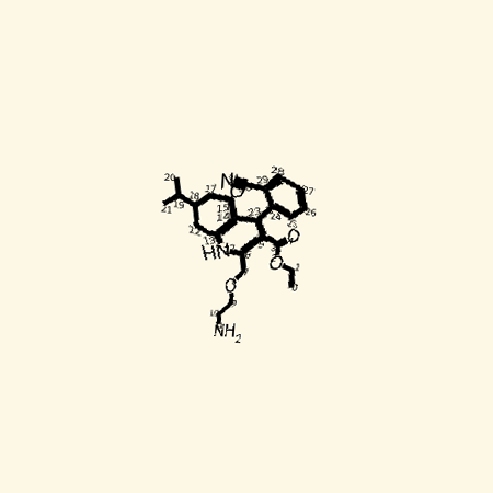 CCOC(=O)C1=C(COCCN)NC2=C(C(=O)CC(C(C)C)C2)C1c1ccccc1C#N